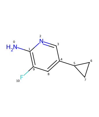 Nc1ncc(C2CC2)cc1F